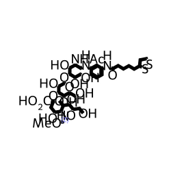 CO/C=N\C1C(O)CC(OC2C(O)C(CO)OC(OC(C(O)CO)C(O)C(CNc3cccc(NC(=O)CCCCC4CCSS4)c3)NC(C)=O)C2O)(C(=O)O)OC1C(O)C(O)CO